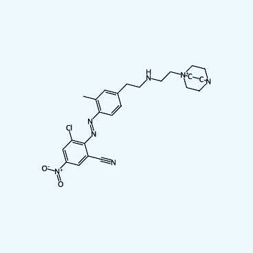 Cc1cc(CCNCC[N+]23CCN(CC2)CC3)ccc1N=Nc1c(Cl)cc([N+](=O)[O-])cc1C#N